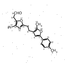 Cc1ccc(-c2cc(CCc3nc(C(C)C)c(CC=O)o3)c(C)o2)cc1